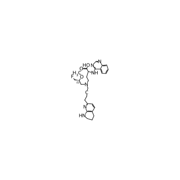 CO[C@H](CF)CN(CCCCc1ccc2c(n1)NCCC2)CCC(Nc1ncnc2ccccc12)C(=O)O